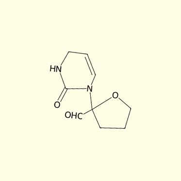 O=CC1(N2C=CCNC2=O)CCCO1